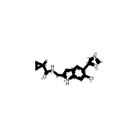 CCc1cc2[nH]c(CNC(=O)C3(C)CC3)cc2cc1-c1cnco1